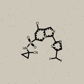 N#CC1(NS(=O)(=O)c2cc(Cl)c3cnc(-c4ncc(C(F)F)s4)n3c2)CC1